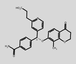 Cc1c(O[C@H](c2ccc(C(N)=O)cc2)c2ccnc(CCC(=O)O)c2)ccc2c1OCCC2=O